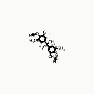 Cc1cc(C(C)(C)c2cc(C)c(OC#N)c(C)c2)cc(C)c1OC#N